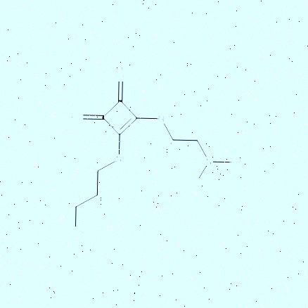 CCN(CC)CCNc1c(NCCCC(C)(C)C)c(=O)c1=O